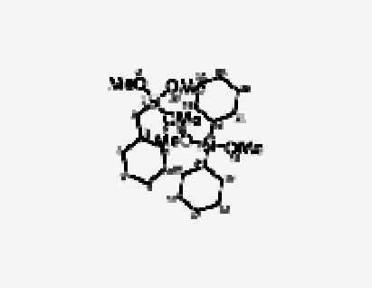 CO[Si](CC1CCCCC1)(OC)OC.CO[Si](OC)(C1CCCCC1)C1CCCCC1